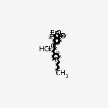 CCCCCN1CCC(CCOc2ccc([N+](=O)[O-])c(C(F)(F)F)c2)CC1.Cl